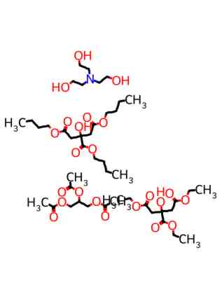 CC(=O)OCC(COC(C)=O)OC(C)=O.CCCCOC(=O)CC(O)(CC(=O)OCCCC)C(=O)OCCCC.CCOC(=O)CC(O)(CC(=O)OCC)C(=O)OCC.OCCN(CCO)CCO